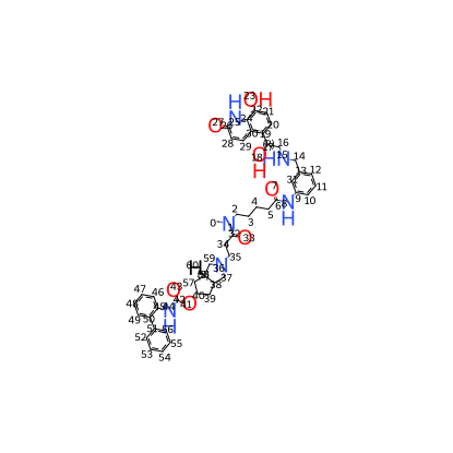 CN(CCCCC(=O)Nc1cccc(CNC[C@H](O)c2ccc(O)c3[nH]c(=O)ccc23)c1)C(=O)CCN1CC2CC(OC(=O)Nc3ccccc3-c3ccccc3)C[C@@H]2C1